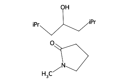 CC(C)CC(O)CC(C)C.CN1CCCC1=O